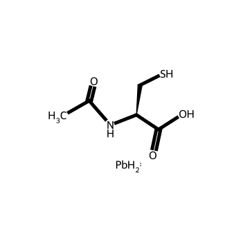 CC(=O)N[C@@H](CS)C(=O)O.[PbH2]